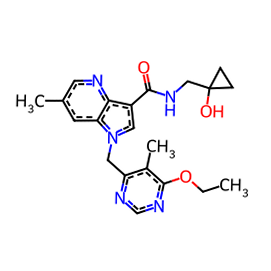 CCOc1ncnc(Cn2cc(C(=O)NCC3(O)CC3)c3ncc(C)cc32)c1C